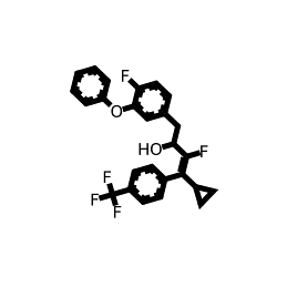 OC(Cc1ccc(F)c(Oc2ccccc2)c1)C(F)=C(c1ccc(C(F)(F)F)cc1)C1CC1